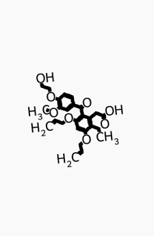 C=CCOc1cc(OCC=C)c(C(=O)c2ccc(OCCO)c(OC)c2)c(CC(=O)O)c1CC